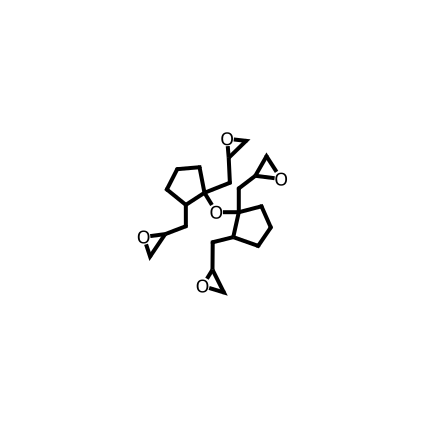 C1CC(CC2CO2)C(CC2CO2)(OC2(CC3CO3)CCCC2CC2CO2)C1